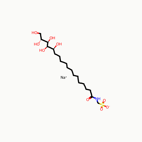 O=C(CCCCCCCCCCCC[C@H](O)[C@@H](O)[C@H](O)[C@H](O)CO)NCS(=O)(=O)[O-].[Na+]